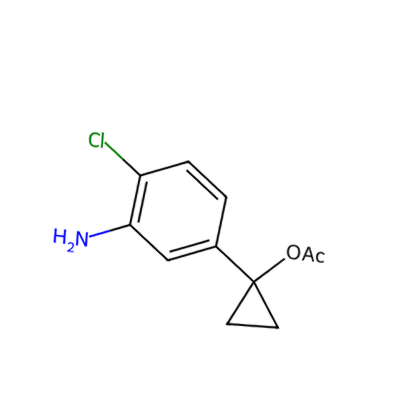 CC(=O)OC1(c2ccc(Cl)c(N)c2)CC1